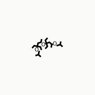 CCC(CC)(CC(C)OC(CC)(CC)CC(C)OCC(C)C)OCC(C)C